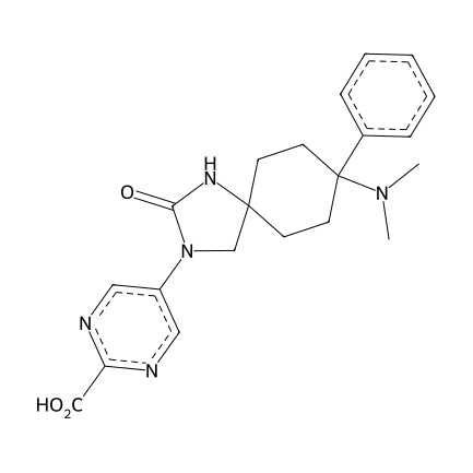 CN(C)C1(c2ccccc2)CCC2(CC1)CN(c1cnc(C(=O)O)nc1)C(=O)N2